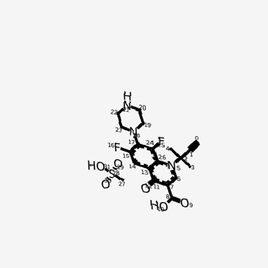 C#CC(C)(C)n1cc(C(=O)O)c(=O)c2cc(F)c(N3CCNCC3)c(F)c21.CS(=O)(=O)O